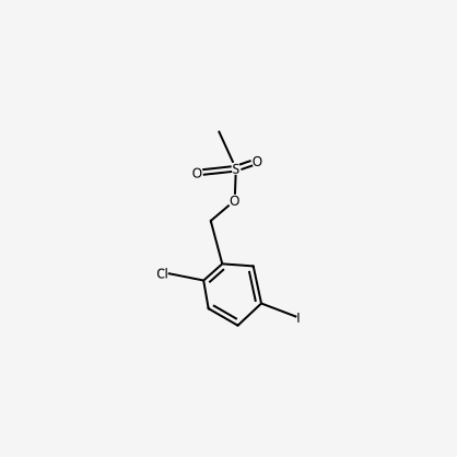 CS(=O)(=O)OCc1cc(I)ccc1Cl